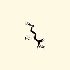 CCNCCCC(=O)OC.Cl